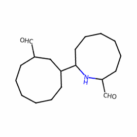 O=CC1CCCCCCC(C2CCCCCCC(C=O)N2)C1